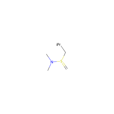 C=S(CC(C)C)N(C)C